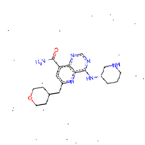 NC(=O)c1cc(CC2CCOCC2)nc2c(N[C@H]3CCCNC3)ncnc12